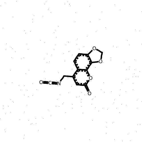 O=C=NCc1cc(=O)oc2c3c(ccc12)OCO3